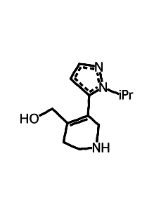 CC(C)n1nccc1C1=C(CO)CCNC1